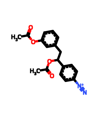 CC(=O)Oc1cccc(CC(OC(C)=O)c2ccc([N+]#N)cc2)c1